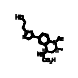 CC(=O)N1c2ccc(-c3cnn(CCO)c3)cc2[C@H](NC(=O)O)C[C@@H]1C